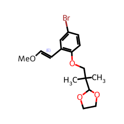 CO/C=C/c1cc(Br)ccc1OCC(C)(C)C1OCCO1